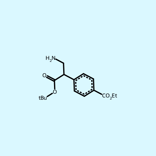 CCOC(=O)c1ccc(C(CN)C(=O)OC(C)(C)C)cc1